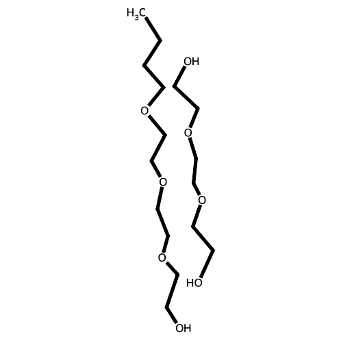 CCCCOCCOCCOCCO.OCCOCCOCCO